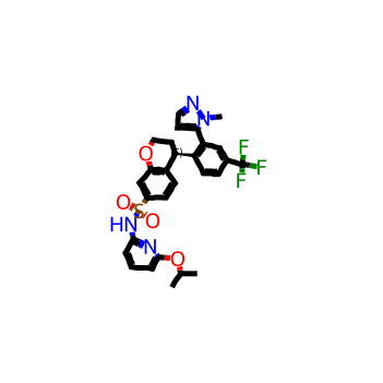 CC(C)Oc1cccc(NS(=O)(=O)c2ccc3c(c2)OCC[C@H]3c2ccc(C(F)(F)F)cc2-c2ccnn2C)n1